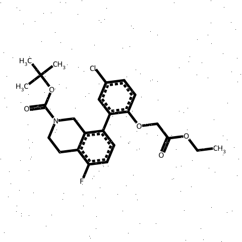 CCOC(=O)COc1ccc(Cl)cc1-c1ccc(F)c2c1CN(C(=O)OC(C)(C)C)CC2